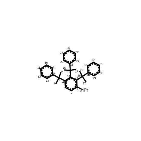 CC(C)c1c[c]c(C(C)(C)c2ccccc2)c(C(C)(C)c2ccccc2)c1C(C)(C)c1ccccc1